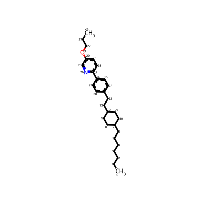 CCCCCCCC1CCC(CCc2ccc(-c3ccc(OCCC)cn3)cc2)CC1